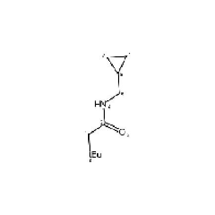 CC(C)(C)CC(=O)NCC1CC1